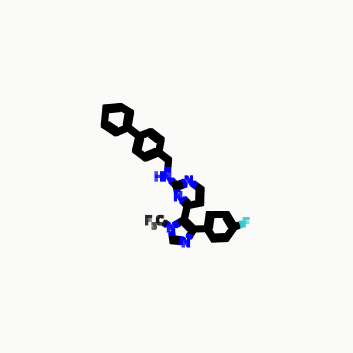 Fc1ccc(-c2ncn(C(F)(F)F)c2-c2ccnc(NCc3ccc(-c4ccccc4)cc3)n2)cc1